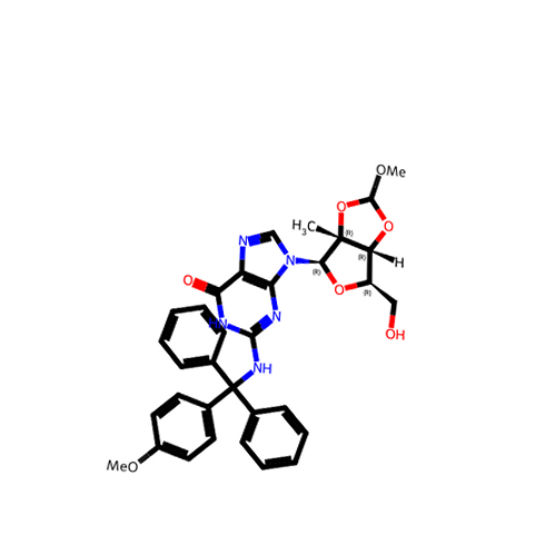 COc1ccc(C(Nc2nc3c(ncn3[C@@H]3O[C@H](CO)[C@H]4OC(OC)O[C@]43C)c(=O)[nH]2)(c2ccccc2)c2ccccc2)cc1